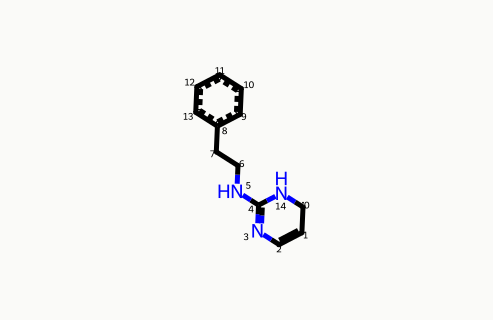 [CH]1C=CN=C(NCCc2ccccc2)N1